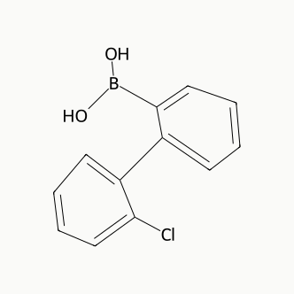 OB(O)c1ccccc1-c1ccccc1Cl